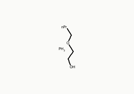 CCCCOCCO.P